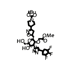 COC(=O)CO[C@@H]1[C@@H](n2cc(-c3cc(F)c(F)c(F)c3)nn2)[C@@H](O)[C@@H](CO)O[C@@H]1CC1CC(C2CCN(C(=O)OC(C)(C)C)CC2)=NO1